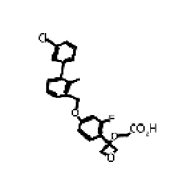 Cc1c(COc2ccc(C3(OCC(=O)O)COC3)c(F)c2)cccc1-c1cccc(Cl)c1